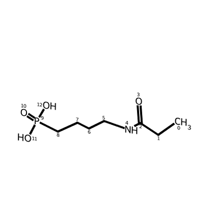 CCC(=O)NCCCCP(=O)(O)O